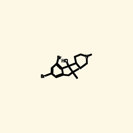 CN1CCC(C2(O)c3c(Br)cc(Br)cc3CC2(C)C)CC1